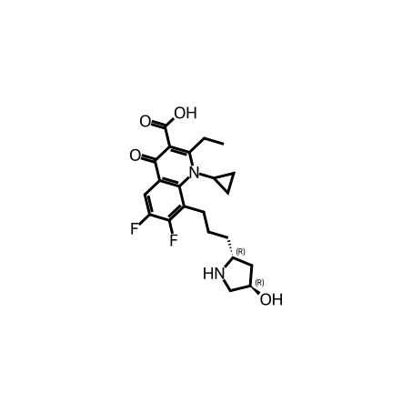 CCc1c(C(=O)O)c(=O)c2cc(F)c(F)c(CCC[C@@H]3C[C@@H](O)CN3)c2n1C1CC1